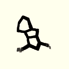 CC1CC(C)C2C1CC1CCCCC12